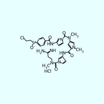 CN(CCC(=N)N)C(=O)n1ccc(NC(=O)c2cc(N(C)C(=O)n3ccc(NC(=O)c4ccc([S+]([O-])CCCl)cc4)c3)cn2C)c1.Cl